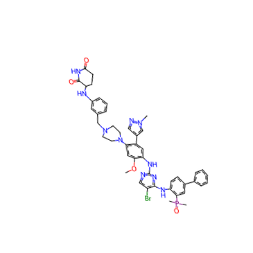 COc1cc(N2CCN(Cc3cccc(NC4CCC(=O)NC4=O)c3)CC2)c(-c2cnn(C)c2)cc1Nc1ncc(Br)c(Nc2ccc(-c3ccccc3)cc2P(C)(C)=O)n1